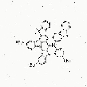 CC(C)(C)c1ccc(N2B3c4sc5ccc(C(C)(C)C)cc5c4-n4c5ccc(C(C)(C)C)cc5c5c6c(c(c3c54)-c3cc4c(cc32)sc2ccccc24)-c2ccccc2C6(C)C)cc1